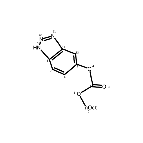 CCCCCCCCOC(=O)Oc1ccc2[nH]nnc2c1